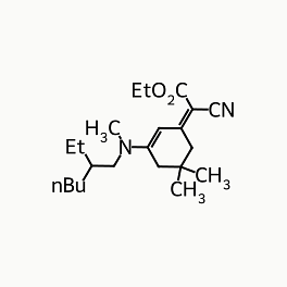 CCCCC(CC)CN(C)C1=C/C(=C(/C#N)C(=O)OCC)CC(C)(C)C1